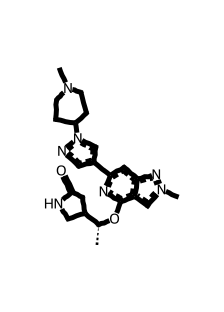 C[C@@H](Oc1nc(-c2cnn(C3CCN(C)CC3)c2)cc2nn(C)cc12)C1CNC(=O)C1